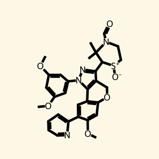 COc1cc(OC)cc(-n2nc(C3[S+]([O-])CCN(C=O)C3(C)C)c3c2-c2cc(-c4ccccn4)c(OC)cc2OC3)c1